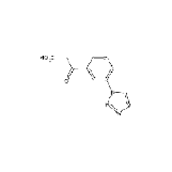 O=C(O)CC(=O)c1cccc(-n2ccnn2)c1